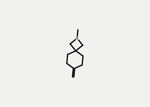 C=C1CCC2(CC1)CN(C)C2